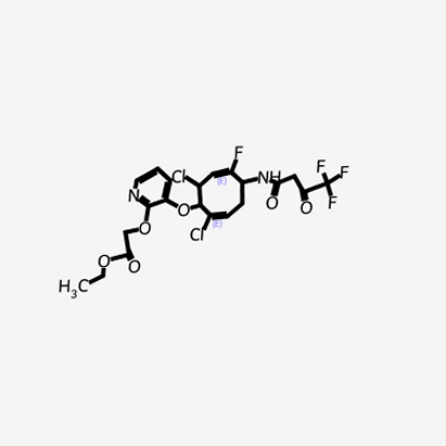 CCOC(=O)COc1ncccc1OC1/C(Cl)=C\CC(NC(=O)CC(=O)C(F)(F)F)/C(F)=C\C1Cl